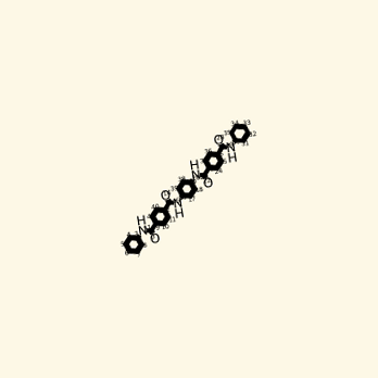 O=C(Nc1ccccc1)c1ccc(C(=O)Nc2ccc(NC(=O)c3ccc(C(=O)NC4C=CC=CC4)cc3)cc2)cc1